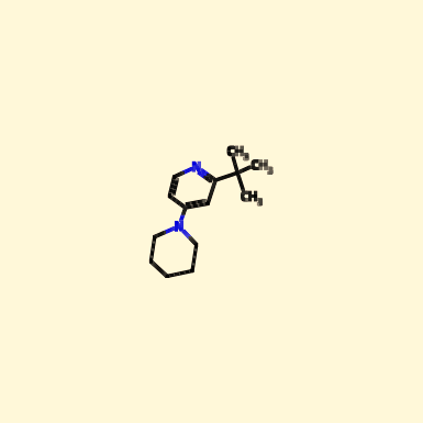 CC(C)(C)c1cc(N2CCCCC2)ccn1